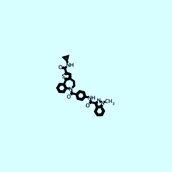 Cn1nc(C(=O)Nc2ccc(C(=O)N3CCc4cc(C(=O)NC5CC5)sc4-c4ccccc43)cc2)c2ccccc21